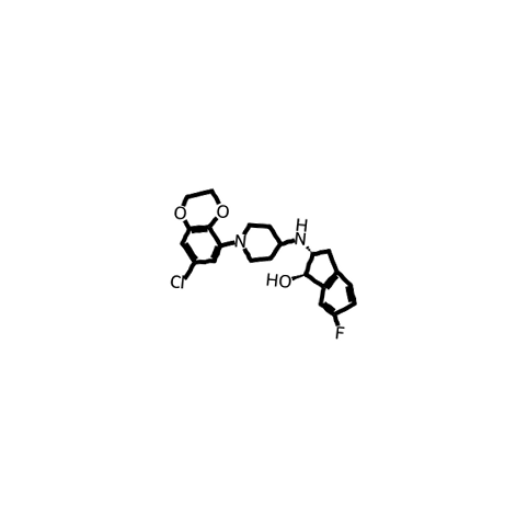 O[C@@H]1c2cc(F)ccc2C[C@H]1NC1CCN(c2cc(Cl)cc3c2OCCO3)CC1